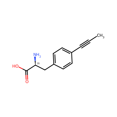 CC#Cc1ccc(C[C@H](N)C(=O)O)cc1